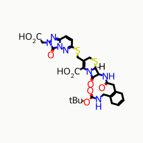 CC(C)(C)OC(=O)NCC1=C(CC(=O)NC2C(=O)N3C(C(=O)O)=C(CSc4ccc5nn(CC(=O)O)c(=O)n5n4)CS[C@@H]23)CC=CC1